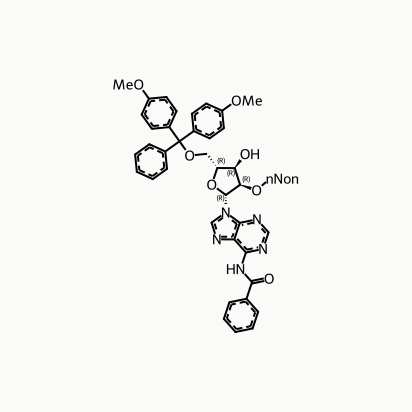 CCCCCCCCCO[C@@H]1[C@H](O)[C@@H](COC(c2ccccc2)(c2ccc(OC)cc2)c2ccc(OC)cc2)O[C@H]1n1cnc2c(NC(=O)c3ccccc3)ncnc21